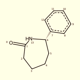 O=C1CCCC[C@@H](c2ccccc2)N1